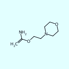 C=C(N)OCCN1CCOCC1